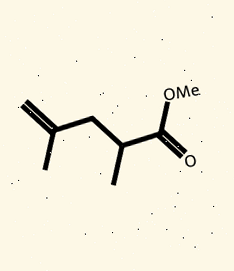 C=C(C)CC(C)C(=O)OC